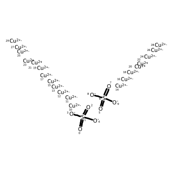 O=S(=O)([O-])[O-].O=S(=O)([O-])[O-].[Cu+2].[Cu+2].[Cu+2].[Cu+2].[Cu+2].[Cu+2].[Cu+2].[Cu+2].[Cu+2].[Cu+2].[Cu+2].[Cu+2].[Cu+2].[Cu+2].[Cu+2].[Cu+2].[Cu+2].[Cu+2].[Cu+2].[Cu+2]